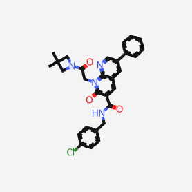 CC1(C)CN(C(=O)Cn2c(=O)c(C(=O)NCc3ccc(Cl)cc3)cc3cc(-c4ccccc4)cnc32)C1